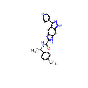 Cc1ccc([C@@H](C)NC(=O)c2nc3cc4c(-c5ccncc5)n[nH]c4cc3[nH]2)cc1